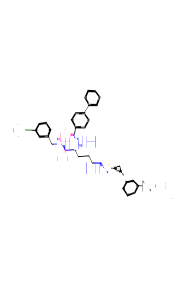 O=C(NC(CCCCN[C@@H]1C[C@H]1c1cccc([N+](=O)[O-])c1)C(=O)NCc1cccc(Cl)c1)c1ccc(-c2ccccc2)cc1